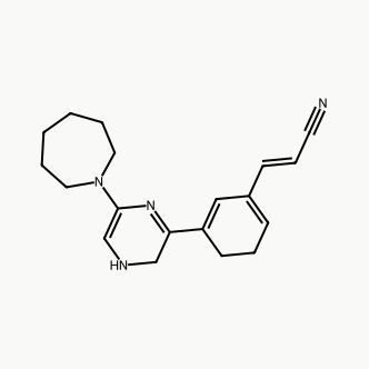 N#C/C=C/C1=CCCC(C2=NC(N3CCCCCC3)=CNC2)=C1